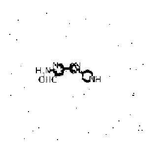 Nc1ncc(-c2cnn(C3CCNCC3)c2)cc1C=O